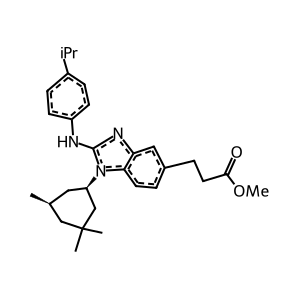 COC(=O)CCc1ccc2c(c1)nc(Nc1ccc(C(C)C)cc1)n2[C@@H]1C[C@H](C)CC(C)(C)C1